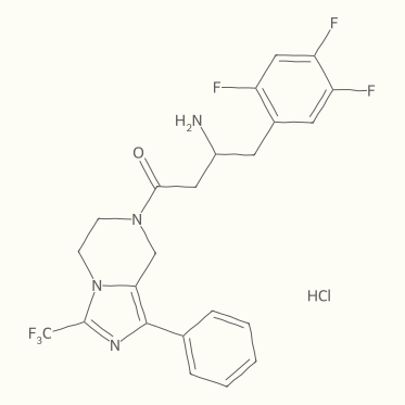 Cl.NC(CC(=O)N1CCn2c(C(F)(F)F)nc(-c3ccccc3)c2C1)Cc1cc(F)c(F)cc1F